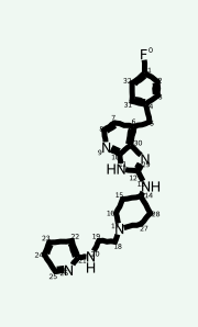 Fc1ccc(Cc2ccnc3[nH]c(NC4CCN(CCNc5ccccn5)CC4)nc23)cc1